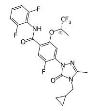 Cc1nn(-c2cc(O[C@@H](C)C(F)(F)F)c(C(=O)Nc3c(F)cccc3F)cc2F)c(=O)n1CC1CC1